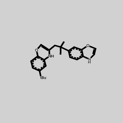 CC(C)(C)c1ccc2c(c1)NC(CC(C)(C)c1ccc3c(c1)OC=CN3)=CO2